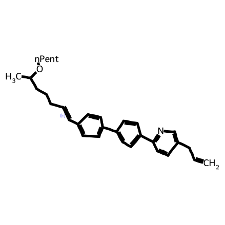 C=CCc1ccc(-c2ccc(-c3ccc(/C=C/CCCC(C)OCCCCC)cc3)cc2)nc1